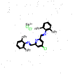 CCCc1cccc(CCC)c1N=Cc1cc(Cl)cc(C=Nc2c(CCC)cccc2CCC)n1.[Cl-].[Cl-].[Fe+2]